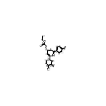 CCOC(=O)COc1cc(-c2ccc(F)cc2)nc(-c2ccc(Cl)c(F)c2)c1